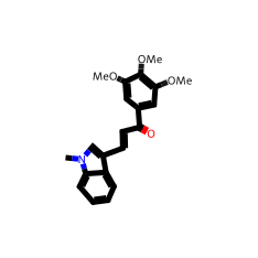 COc1cc(C(=O)C=Cc2cn(C)c3ccccc23)cc(OC)c1OC